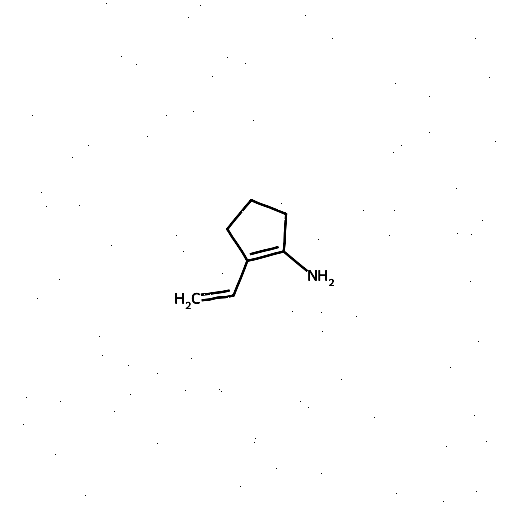 C=CC1=C(N)CCC1